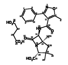 Cc1onc(-c2ccccc2)c1C(=O)N[C@@H]1C(=O)N2[C@@H]1SC(C)(C)[C@@H]2C(=O)O.O=C(O)CCC(=O)O